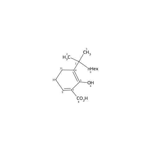 CCCCCCC(C)(C)C1=C(O)C(C(=O)O)=CCC1